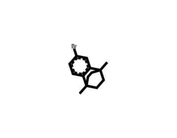 CC12CCC(C)(CC1)c1cc(Br)ccc12